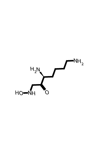 NCCCC[C@H](N)C(=O)CNO